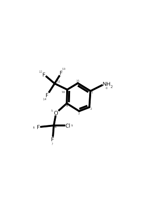 Nc1ccc(OC(F)(F)Cl)c(C(F)(F)F)c1